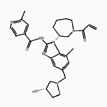 C=CC(=O)N1CCCC[C@@H](n2c(NC(=O)c3ccnc(C)c3)nc3cc(CN4CC[C@H](O)C4)cc(C)c32)C1